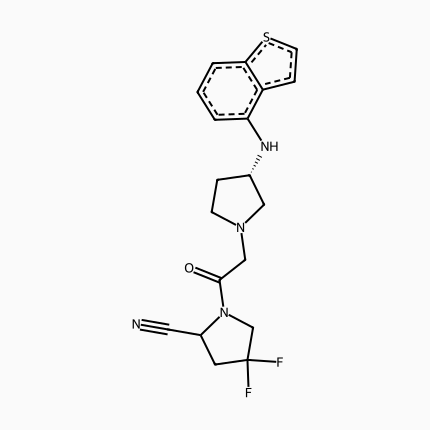 N#CC1CC(F)(F)CN1C(=O)CN1CC[C@H](Nc2cccc3sccc23)C1